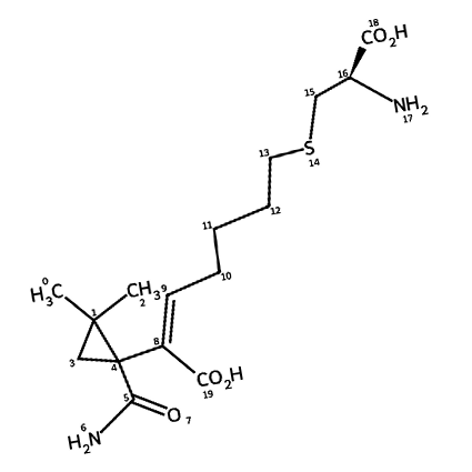 CC1(C)CC1(C(N)=O)C(=CCCCCSC[C@H](N)C(=O)O)C(=O)O